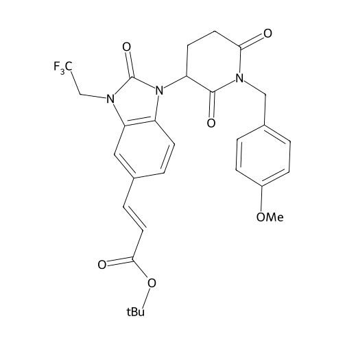 COc1ccc(CN2C(=O)CCC(n3c(=O)n(CC(F)(F)F)c4cc(/C=C/C(=O)OC(C)(C)C)ccc43)C2=O)cc1